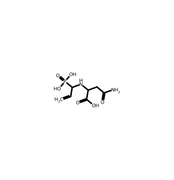 C=CC(NC(CC(N)=O)C(=O)O)P(=O)(O)O